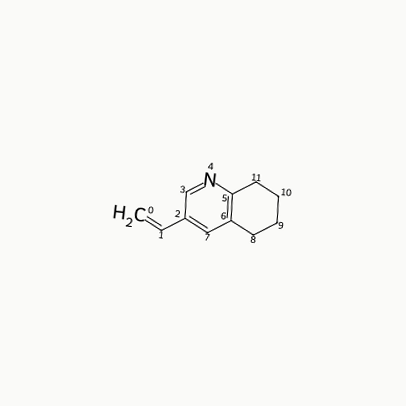 C=Cc1cnc2c(c1)CCCC2